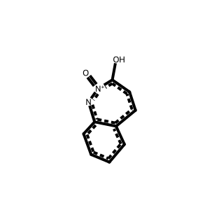 O=[n+]1nc2ccccc2ccc1O